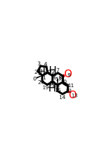 C[C@@]12CCC[C@H]1[C@@H]1CC(=O)C3=CC(=O)CC[C@]3(C)[C@H]1CC2